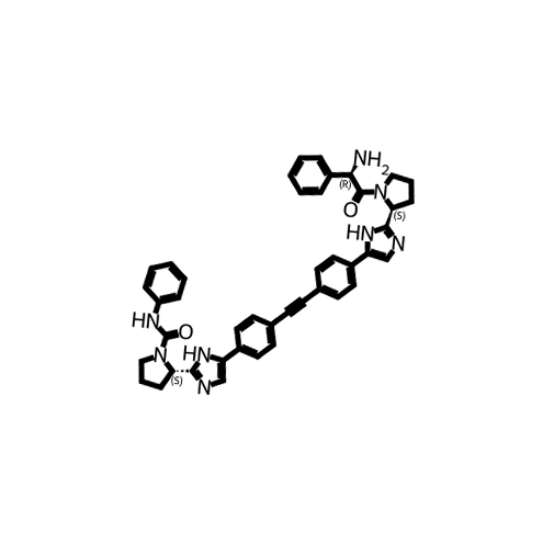 N[C@@H](C(=O)N1CCC[C@H]1c1ncc(-c2ccc(C#Cc3ccc(-c4cnc([C@@H]5CCCN5C(=O)Nc5ccccc5)[nH]4)cc3)cc2)[nH]1)c1ccccc1